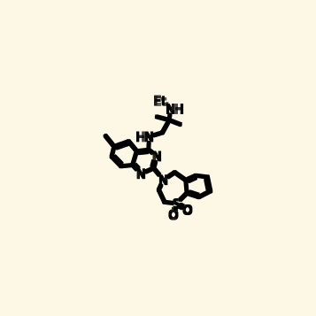 CCNC(C)(C)CNc1nc(N2CCS(=O)(=O)c3ccccc3C2)nc2ccc(C)cc12